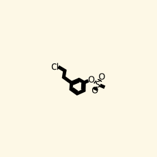 CS(=O)(=O)Oc1cccc(CCCl)c1